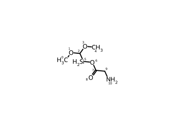 COC(OC)[SiH2]OC(=O)CN